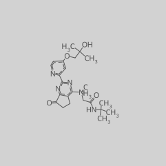 CN(CC(=O)NC(C)(C)C)c1nc(-c2cc(OCC(C)(C)O)ccn2)nc2c1CCC2=O